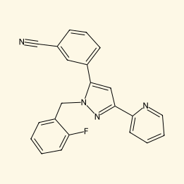 N#Cc1cccc(-c2cc(-c3ccccn3)nn2Cc2ccccc2F)c1